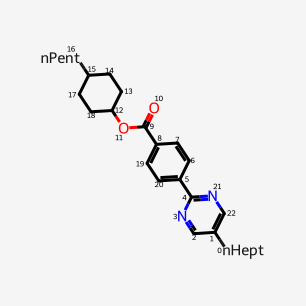 CCCCCCCc1cnc(-c2ccc(C(=O)OC3CCC(CCCCC)CC3)cc2)nc1